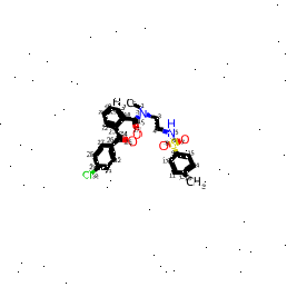 CCN(CCNS(=O)(=O)c1ccc(C)cc1)C(=O)c1ccccc1C(=O)c1ccc(Cl)cc1